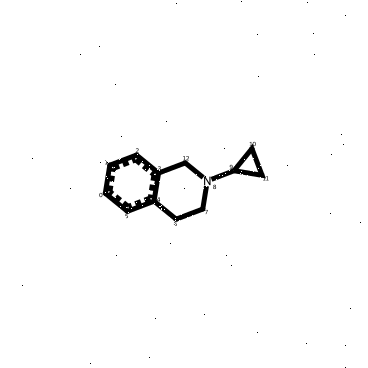 c1ccc2c(c1)CCN(C1CC1)C2